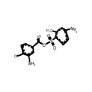 Cc1cc(N)ccc1S(=O)(=O)OC(=O)c1ccc(Cl)c(N)c1